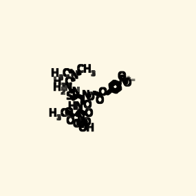 CCN(CC)CC.COC(=O)[C@H]1[C@@H](NC(=O)/C(=N\OCC(=O)OCc2ccc([N+](=O)[O-])cc2)c2csc(N)n2)C(=O)N1S(=O)(=O)O